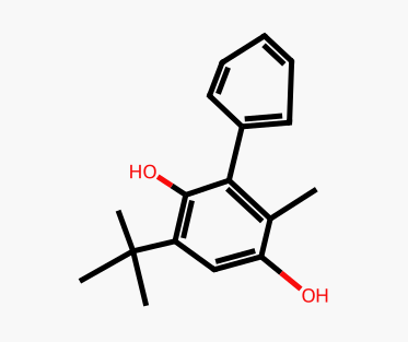 Cc1c(O)cc(C(C)(C)C)c(O)c1-c1ccccc1